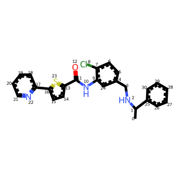 CC(NCc1ccc(Cl)c(NC(=O)c2ccc(-c3ccccn3)s2)c1)c1ccccc1